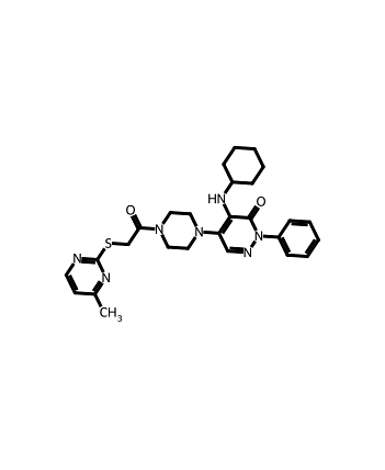 Cc1ccnc(SCC(=O)N2CCN(c3cnn(-c4ccccc4)c(=O)c3NC3CCCCC3)CC2)n1